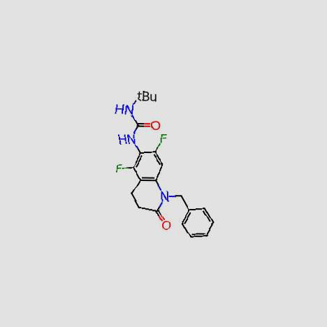 CC(C)(C)NC(=O)Nc1c(F)cc2c(c1F)CCC(=O)N2Cc1ccccc1